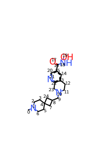 CN1CCC2(CC1)CC(CN1CCc3cc(C(=O)NO)cnc3C1)C2